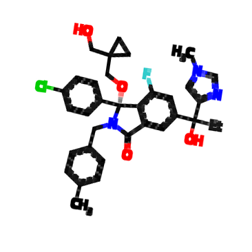 CCC(O)(c1cc(F)c2c(c1)C(=O)N(Cc1ccc(C)cc1)[C@@]2(OCC1(CO)CC1)c1ccc(Cl)cc1)c1cn(C)cn1